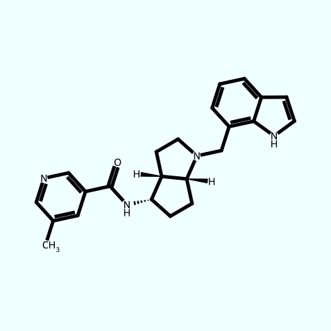 Cc1cncc(C(=O)N[C@H]2CC[C@@H]3[C@H]2CCN3Cc2cccc3cc[nH]c23)c1